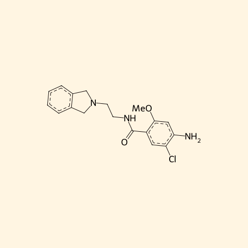 COc1cc(N)c(Cl)cc1C(=O)NCCN1Cc2ccccc2C1